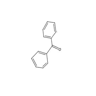 O=C(c1[c]cccc1)c1ccccc1